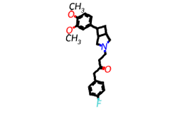 COc1ccc(C2CC3CN(CCC(=O)Cc4ccc(F)cc4)CC32)cc1OC